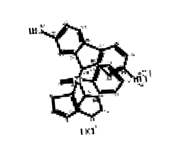 Cl.Cl.[CH2]=[Zr]([C]1=CC=CC1)([c]1ccccc1)([CH]1CCCC1)[CH]1c2cc(C(C)(C)C)ccc2-c2ccc(C(C)(C)C)cc21